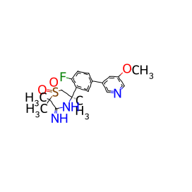 COc1cncc(-c2ccc(F)c([C@]3(C)CS(=O)(=O)C(C)(C)C(=N)N3)c2)c1